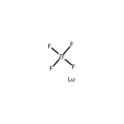 [F][Zr]([F])([F])[F].[Lu]